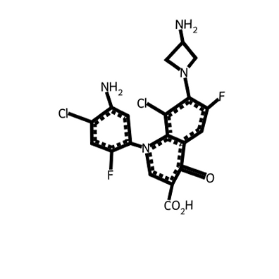 Nc1cc(-n2cc(C(=O)O)c(=O)c3cc(F)c(N4CC(N)C4)c(Cl)c32)c(F)cc1Cl